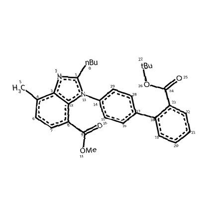 CCCCc1nc2c(C)ccc(C(=O)OC)c2n1-c1ccc(-c2ccccc2C(=O)OC(C)(C)C)cc1